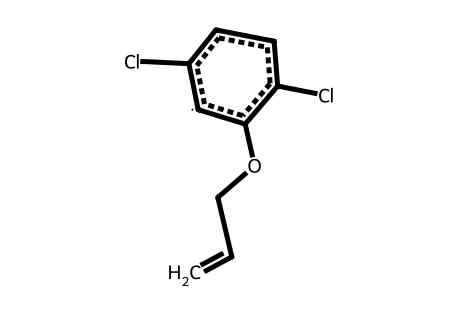 C=CCOc1[c]c(Cl)ccc1Cl